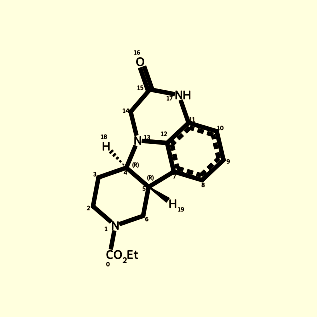 CCOC(=O)N1CC[C@@H]2[C@@H](C1)c1cccc3c1N2CC(=O)N3